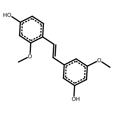 COc1cc(O)cc(/C=C/c2ccc(O)cc2OC)c1